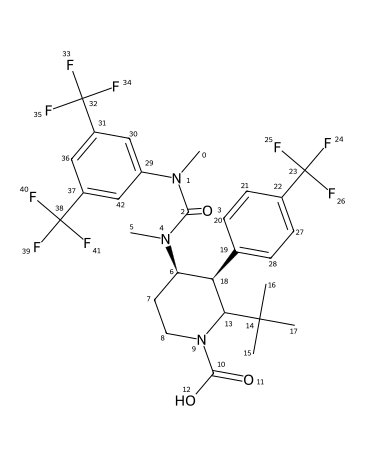 CN(C(=O)N(C)[C@@H]1CCN(C(=O)O)C(C(C)(C)C)[C@@H]1c1ccc(C(F)(F)F)cc1)c1cc(C(F)(F)F)cc(C(F)(F)F)c1